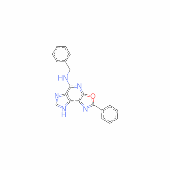 c1ccc(CNc2nc3oc(-c4ccccc4)nc3c3[nH]cnc23)cc1